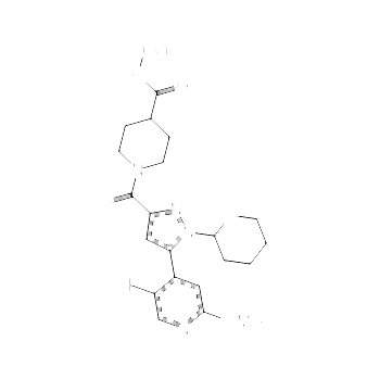 COc1cc(-c2cc(C(=O)N3CCC(C(=O)OC(C)(C)C)CC3)nn2C2CCCCO2)c(Cl)cn1